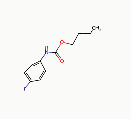 CCCCOC(=O)Nc1ccc(I)cc1